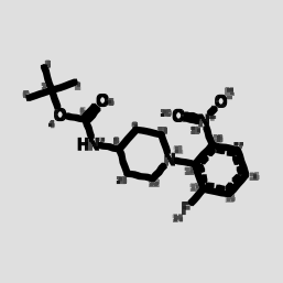 CC(C)(C)OC(=O)NC1CCN(c2c(F)cccc2[N+](=O)[O-])CC1